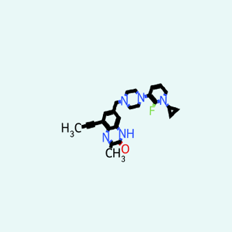 CC#Cc1cc(CN2CCN(C3=C(F)N(C4CC4)CC=C3)CC2)cc2[nH]c(=O)c(C)nc12